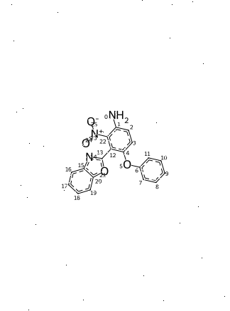 Nc1ccc(Oc2ccccc2)c(-c2nc3ccccc3o2)c1[N+](=O)[O-]